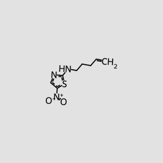 C=CCCCNc1ncc([N+](=O)[O-])s1